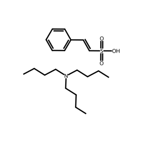 CCCCN(CCCC)CCCC.O=S(=O)(O)C=Cc1ccccc1